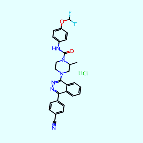 CC1CN(c2nnc(-c3ccc(C#N)cc3)c3ccccc23)CCN1C(=O)Nc1ccc(OC(F)F)cc1.Cl